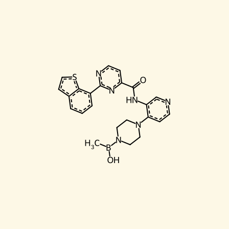 CB(O)N1CCN(c2ccncc2NC(=O)c2ccnc(-c3cccc4ccsc34)n2)CC1